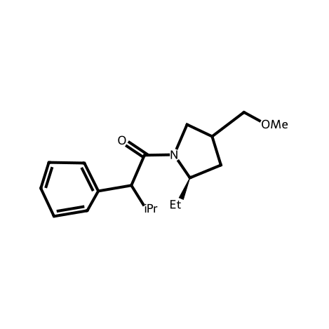 CC[C@@H]1CC(COC)CN1C(=O)C(c1ccccc1)C(C)C